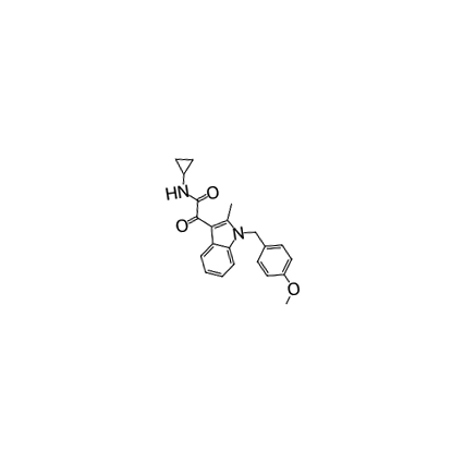 COc1ccc(Cn2c(C)c(C(=O)C(=O)NC3CC3)c3ccccc32)cc1